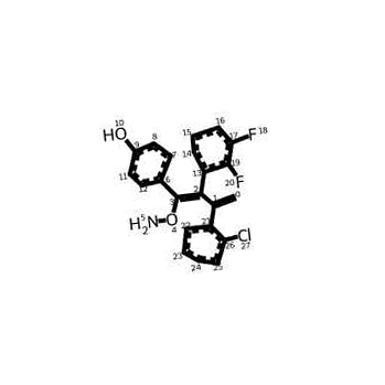 C=C(/C(=C(\ON)c1ccc(O)cc1)c1cccc(F)c1F)c1ccccc1Cl